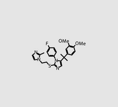 COc1ccc(C(C)(C)c2cnc(SCCn3ccnc3C)n2-c2ccc(F)cc2)cc1OC